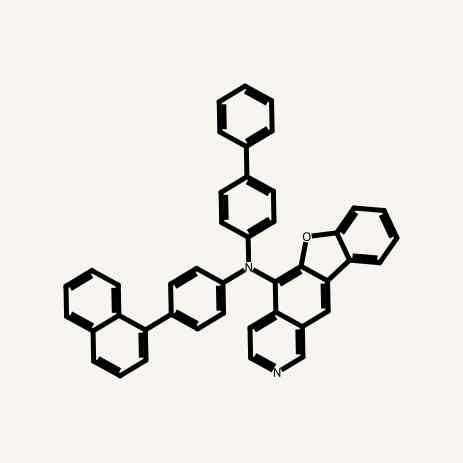 c1ccc(-c2ccc(N(c3ccc(-c4cccc5ccccc45)cc3)c3c4ccncc4cc4c3oc3ccccc34)cc2)cc1